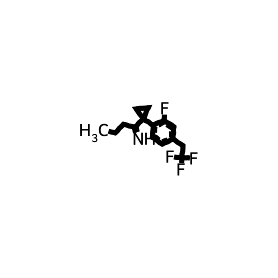 CCCC(=N)C1(c2ccc(CC(F)(F)F)cc2F)CC1